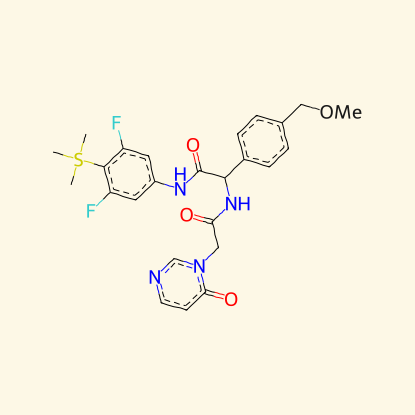 COCc1ccc(C(NC(=O)Cn2cnccc2=O)C(=O)Nc2cc(F)c(S(C)(C)C)c(F)c2)cc1